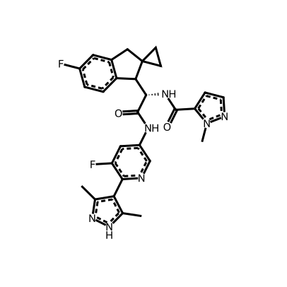 Cc1n[nH]c(C)c1-c1ncc(NC(=O)[C@@H](NC(=O)c2ccnn2C)C2c3ccc(F)cc3CC23CC3)cc1F